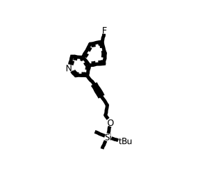 CC(C)(C)[Si](C)(C)OCCC#Cc1cncc2cc(F)ccc12